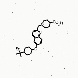 CCC(C)(C)C1CCC(Oc2ccc3nc(CN4CCC(C(=O)O)CC4)ccc3c2)CC1